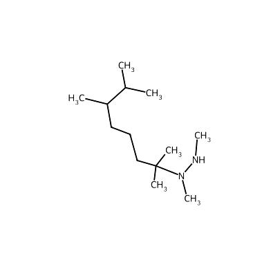 CNN(C)C(C)(C)CCCC(C)C(C)C